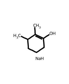 CC1=C(O)CCCC1C.[NaH]